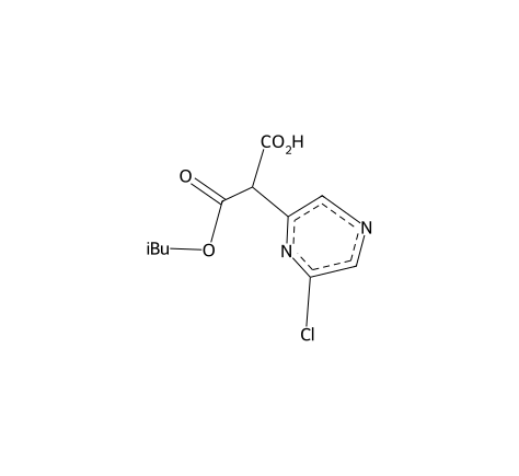 CCC(C)OC(=O)C(C(=O)O)c1cncc(Cl)n1